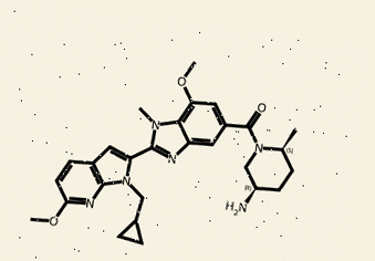 COc1ccc2cc(-c3nc4cc(C(=O)N5C[C@H](N)CC[C@@H]5C)cc(OC)c4n3C)n(CC3CC3)c2n1